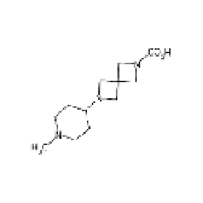 CN1CCC(N2CC3(CN(C(=O)O)C3)C2)CC1